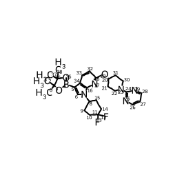 CC1(C)OB(c2cn(C3CCC(F)(F)CC3)c3nc(OC4CCN(c5ncccn5)CC4)ccc23)OC1(C)C